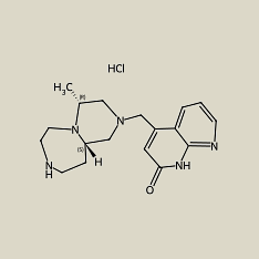 C[C@@H]1CN(Cc2cc(=O)[nH]c3ncccc23)C[C@@H]2CCNCCN21.Cl